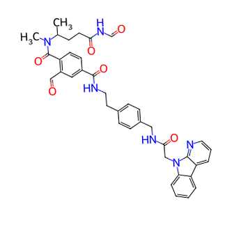 CC(CCC(=O)NC=O)N(C)C(=O)c1ccc(C(=O)NCCc2ccc(CNC(=O)Cn3c4ccccc4c4cccnc43)cc2)cc1C=O